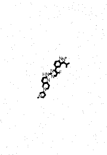 CC(C)c1c2cc(-c3nc(Nc4ccc5c(n4)CCN([C@H]4CCN(C)C4)C5)ncc3F)ccc2nn1C